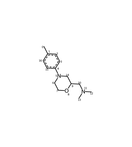 Cc1ccc(N2CCOC(CN(C)C)C2)cc1